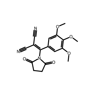 COc1cc(C(=C(C#N)C#N)N2C(=O)CCC2=O)cc(OC)c1OC